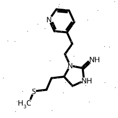 CSCCC1CNC(=N)N1CCc1cccnc1